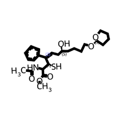 COC(=O)C(NC(C)=O)[C@H](S)/C(=C\C[C@@H](O)CCCCO[C@@H]1CCCCO1)c1ccccc1